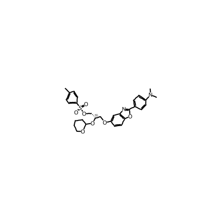 Cc1ccc(S(=O)(=O)OC[C@H](COc2ccc3oc(-c4ccc(N(C)C)cc4)nc3c2)OC2CCCCO2)cc1